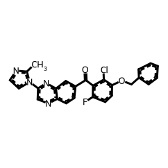 Cc1nccn1-c1cnc2ccc(C(=O)c3c(F)ccc(OCc4ccccc4)c3Cl)cc2n1